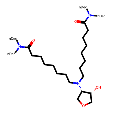 CCCCCCCCCCN(CCCCCCCCCC)C(=O)CCCCCCCN(CCCCCCCC(=O)N(CCCCCCCCCC)CCCCCCCCCC)[C@H]1COC[C@H]1O